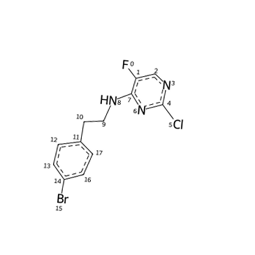 Fc1cnc(Cl)nc1NCCc1ccc(Br)cc1